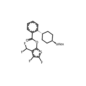 CCCCCC[C@H]1CC[C@H](c2ccccc2C(=O)Oc2sc(F)c(F)c2C(F)F)CC1